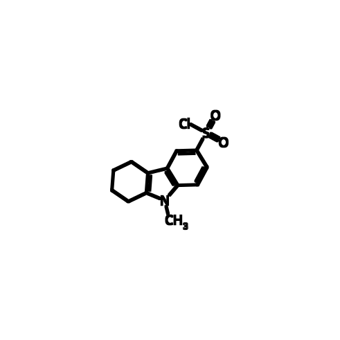 Cn1c2c(c3cc(S(=O)(=O)Cl)ccc31)CCCC2